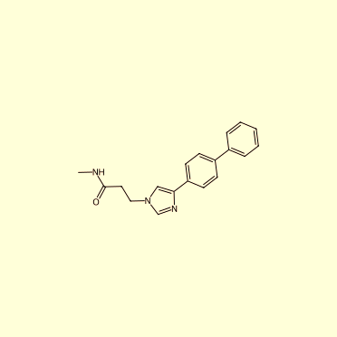 CNC(=O)CCn1cnc(-c2ccc(-c3ccccc3)cc2)c1